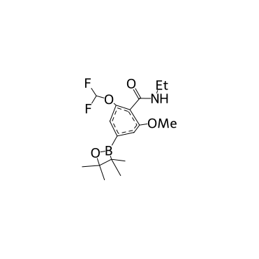 CCNC(=O)c1c(OC)cc(B2OC(C)(C)C2(C)C)cc1OC(F)F